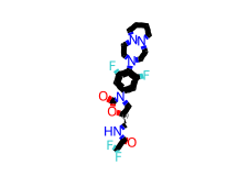 O=C(NC[C@H]1CN(c2cc(F)c(N3CCN4CCCCN4CC3)c(F)c2)C(=O)O1)C(F)F